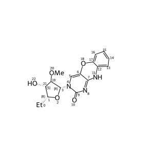 CC[C@H]1O[C@@H](n2cc3c(nc2=O)Nc2ccccc2O3)C(OC)[C@H]1O